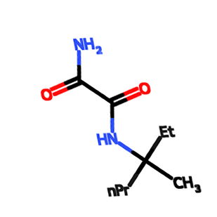 CCCC(C)(CC)NC(=O)C(N)=O